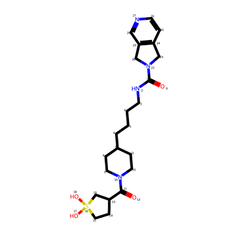 O=C(NCCCCC1CCN(C(=O)C2CCS(O)(O)C2)CC1)N1Cc2ccncc2C1